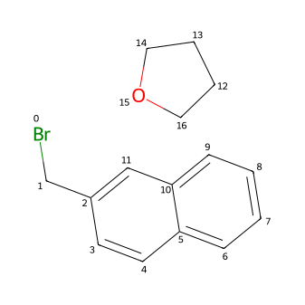 BrCc1ccc2ccccc2c1.C1CCOC1